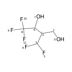 OC[C](C(F)F)C(O)C(F)(F)F